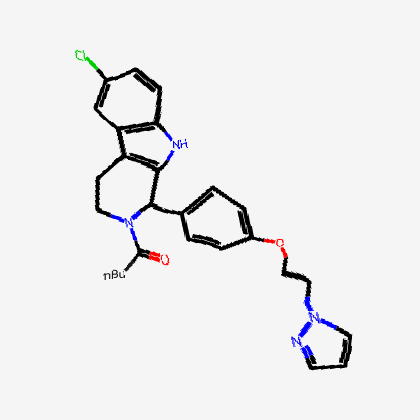 CCCCC(=O)N1CCc2c([nH]c3ccc(Cl)cc23)C1c1ccc(OCCn2cccn2)cc1